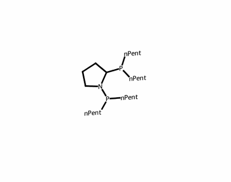 CCCCCP(CCCCC)C1CCCN1P(CCCCC)CCCCC